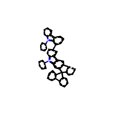 c1ccc(-n2c3ccc(-c4cccc5c6ccccc6n(-c6ccccc6)c45)cc3c3cc4c(cc32)C2(c3ccccc3-c3ccccc32)c2ccccc2-4)cc1